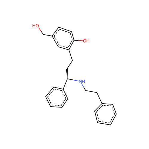 OCc1ccc(O)c(CC[C@@H](NCCc2ccccc2)c2ccccc2)c1